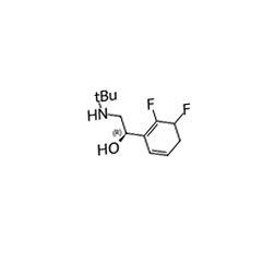 CC(C)(C)NC[C@H](O)C1=C(F)C(F)CC=C1